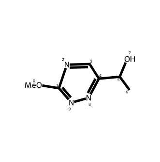 COc1ncc(C(C)O)nn1